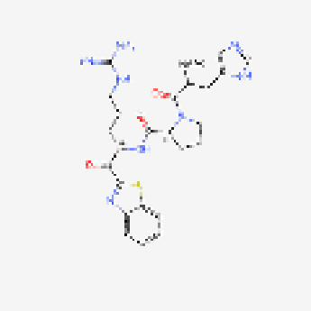 CC(=O)NC(Cc1cnc[nH]1)C(=O)N1CCC[C@H]1C(=O)N[C@@H](CCCNC(=N)N)C(=O)c1nc2ccccc2s1